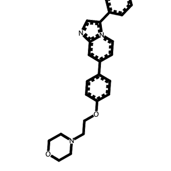 c1cc(-c2cnc3cc(-c4ccc(OCCN5CCOCC5)cc4)ccn23)ccn1